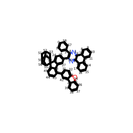 c1ccc(-c2nc3c4ccccc4c4ccccc4c3nc2-c2ccc3c(c2)-c2c(-c4ccc5oc6ccccc6c5c4)cccc2C32C3CC4CC(C3)CC2C4)cc1